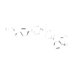 NC(=O)c1ccc(N2CCC(OC3CCN(c4cccc(Br)c4C=O)CC3)CC2)cc1